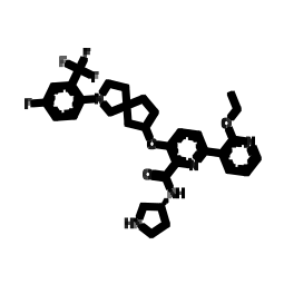 CCOc1ncccc1-c1ccc(OC2CCC3(CCN(c4ccc(F)cc4C(F)(F)F)C3)C2)c(C(=O)N[C@@H]2CCNC2)n1